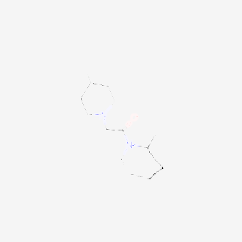 CC1CCCCN1C(=O)CN1CCC(F)CC1